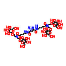 N[C@H](CCC(=O)NCCCCCC(=O)N(CCOC1OC(CO)C(O)C(O)C1O)CCO[C@H]1O[C@H](CO)[C@@H](O)[C@H](O)[C@@H]1O)C(=O)NCCCCCC(=O)N(CCO[C@H]1O[C@H](CO)[C@@H](O)[C@H](O)[C@@H]1O)CCO[C@H]1O[C@H](CO)[C@@H](O)[C@H](O)[C@@H]1O